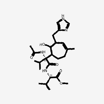 COC(=O)[C@@H](NC(=O)[C@@](NC(C)=O)(C(C)C)C1CCC(C)=CC(Cc2c[nH]cn2)C1O)C(C)C